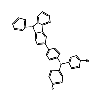 Brc1ccc(N(c2ccc(Br)cc2)c2ccc(-c3ccc4c(c3)c3ccccc3n4-c3ccccc3)cc2)cc1